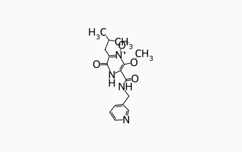 COc1c(C(=O)NCc2cccnc2)[nH]c(=O)c(CC(C)C)[n+]1[O-]